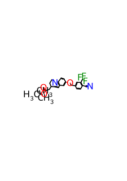 CC(C)(C)OC(=O)CC1CCn2c1cc1cc(OCc3ccc(C#N)c(C(F)(F)F)c3)ccc12